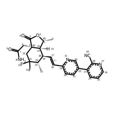 C[C@H]1OC(=O)[C@]2(CC(N)=O)CC(F)(F)[C@@H](C)[C@H](/C=C/c3ccc(-c4cccnc4C#N)cn3)[C@H]12